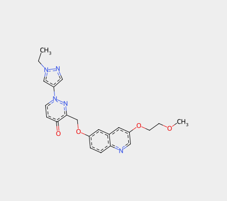 CCn1cc(-n2ccc(=O)c(COc3ccc4ncc(OCCOC)cc4c3)n2)cn1